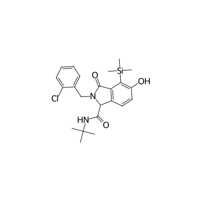 CC(C)(C)NC(=O)C1c2ccc(O)c([Si](C)(C)C)c2C(=O)N1Cc1ccccc1Cl